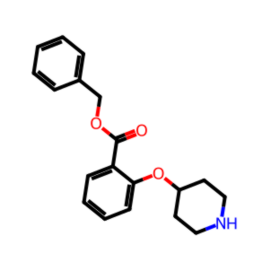 O=C(OCc1ccccc1)c1ccccc1OC1CCNCC1